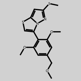 COCc1cc(OC)c(-c2csc3cc(SC)nn23)c(OC)c1